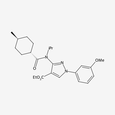 CCOC(=O)c1cn(-c2cccc(OC)c2)nc1N(C(=O)[C@H]1CC[C@H](C)CC1)C(C)C